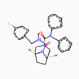 CN(Cc1ccc(F)cc1)C(=O)N1[C@@H]2CC[C@H]1CN(C(=O)N(c1ccccc1)c1ccccc1)C2